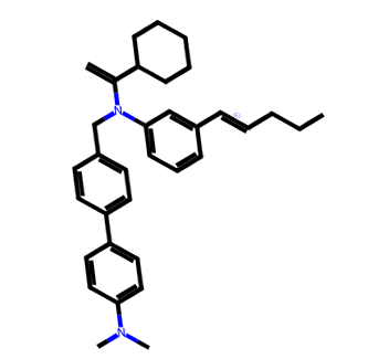 C=C(C1CCCCC1)N(Cc1ccc(-c2ccc(N(C)C)cc2)cc1)c1cccc(/C=C/CCC)c1